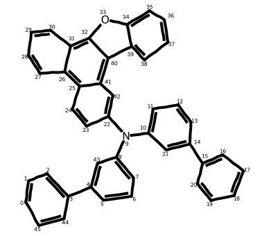 c1ccc(-c2cccc(N(c3cccc(-c4ccccc4)c3)c3ccc4c5ccccc5c5oc6ccccc6c5c4c3)c2)cc1